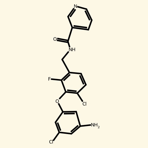 Nc1cc(Cl)cc(Oc2c(Cl)ccc(CNC(=O)c3cccnc3)c2F)c1